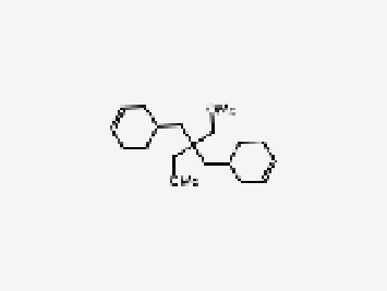 COCC(COC)(CC1CC=CCC1)CC1CC=CCC1